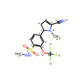 CNS(=O)(=O)c1ccc(C2CC=C(C#N)N2C)cc1OC(F)(F)F